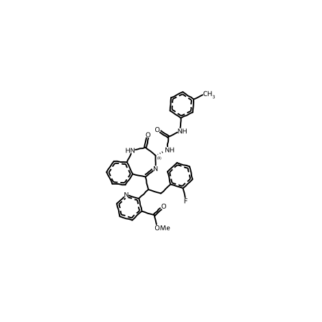 COC(=O)c1cccnc1C(Cc1ccccc1F)C1=N[C@@H](NC(=O)Nc2cccc(C)c2)C(=O)Nc2ccccc21